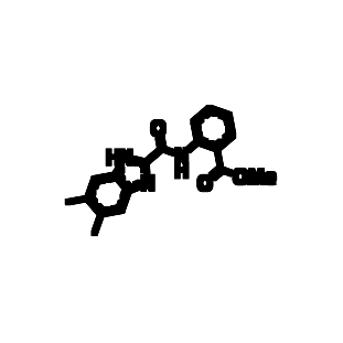 COC(=O)c1ccccc1NC(=O)c1nc2cc(C)c(C)cc2[nH]1